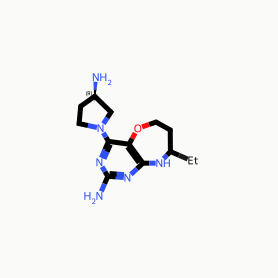 CCC1CCOc2c(nc(N)nc2N2CC[C@@H](N)C2)N1